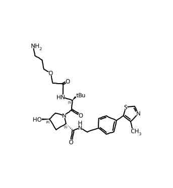 Cc1ncsc1-c1ccc(CNC(=O)[C@@H]2C[C@@H](O)CN2C(=O)[C@@H](NC(=O)COCCCN)C(C)(C)C)cc1